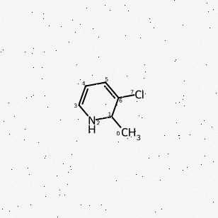 CC1NC=CC=C1Cl